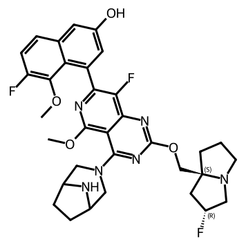 COc1c(F)ccc2cc(O)cc(-c3nc(OC)c4c(N5CC6CCC(C5)N6)nc(OC[C@@]56CCCN5C[C@H](F)C6)nc4c3F)c12